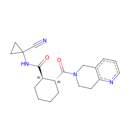 N#CC1(NC(=O)[C@@H]2CCCC[C@H]2C(=O)N2CCc3ncccc3C2)CC1